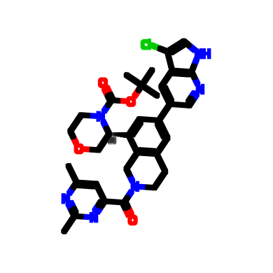 Cc1cc(C(=O)N2CCc3cc(-c4cnc5[nH]cc(Cl)c5c4)cc([C@@H]4COCCN4C(=O)OC(C)(C)C)c3C2)nc(C)n1